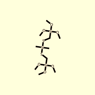 CO[Si](CS[Si](C)(C)SC[Si](OC)(OC)OC)(OC)OC